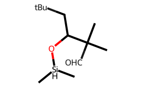 C[SiH](C)OC(CC(C)(C)C)C(C)(C)C=O